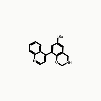 CC(C)(C)c1cc2c(c(-c3ccnc4ccccc34)c1)OCNC2